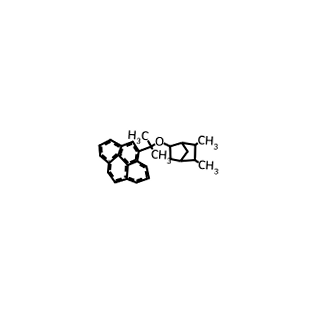 CC1C2CC(OC(C)(C)c3cc4cccc5ccc6cccc3c6c54)C(C2)C1C